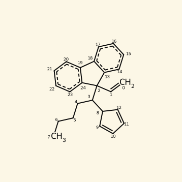 C=CC1(C(CCCC)C2C=CC=C2)c2ccccc2-c2ccccc21